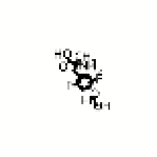 C[C@@](N)(Cc1cc(F)c(OBO)cc1F)C(=O)O